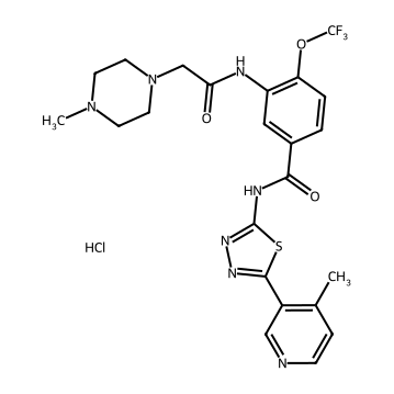 Cc1ccncc1-c1nnc(NC(=O)c2ccc(OC(F)(F)F)c(NC(=O)CN3CCN(C)CC3)c2)s1.Cl